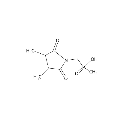 CC1C(=O)N(CP(C)(=O)O)C(=O)C1C